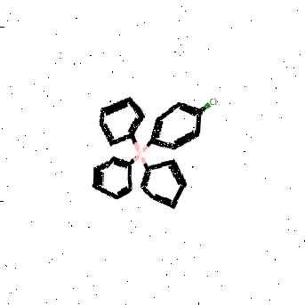 Clc1ccc([B-](c2ccccc2)(c2ccccc2)c2ccccc2)cc1